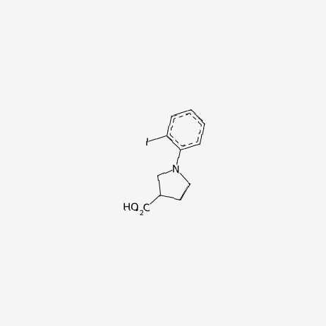 O=C(O)C1CCN(c2ccccc2I)C1